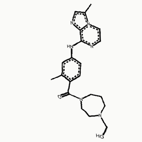 Cc1cc(Nc2nccn3c(C)cnc23)ccc1C(=O)N1CCCN(CO)CC1